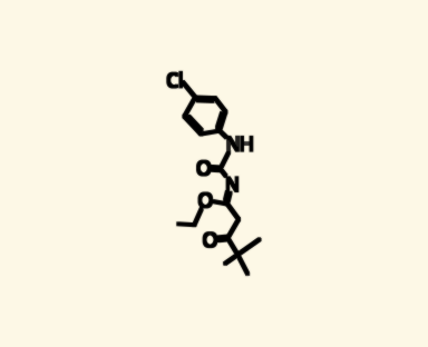 CCOC(CC(=O)C(C)(C)C)=NC(=O)Nc1ccc(Cl)cc1